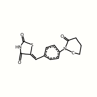 O=C1NC(=O)C(=Cc2ccc(N3CCCCC3=O)cc2)S1